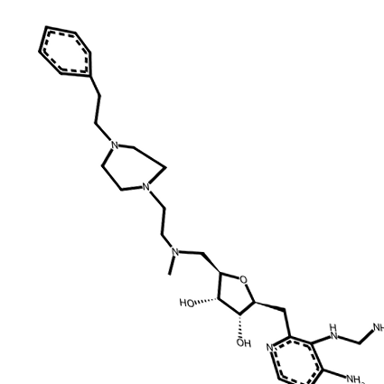 CN(CCN1CCN(CCc2ccccc2)CC1)C[C@H]1O[C@@H](Cc2ncnc(N)c2NCN)[C@H](O)[C@@H]1O